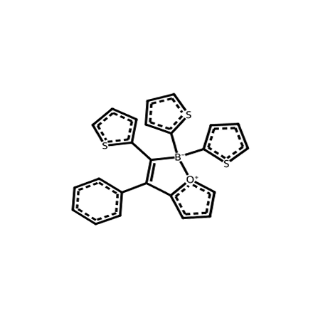 c1ccc(C2=C(c3cccs3)[B-](c3cccs3)(c3cccs3)[o+]3cccc32)cc1